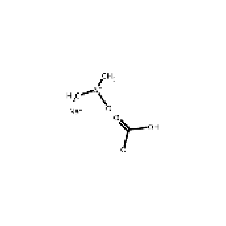 C[S+](C)[O-].O=C([O-])O.[Na+]